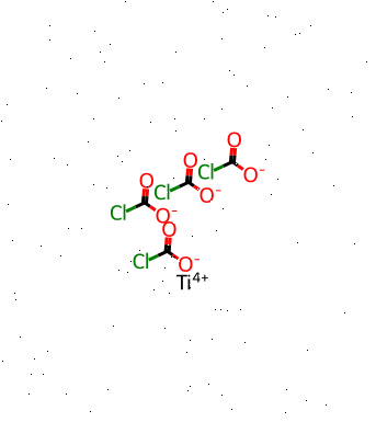 O=C([O-])Cl.O=C([O-])Cl.O=C([O-])Cl.O=C([O-])Cl.[Ti+4]